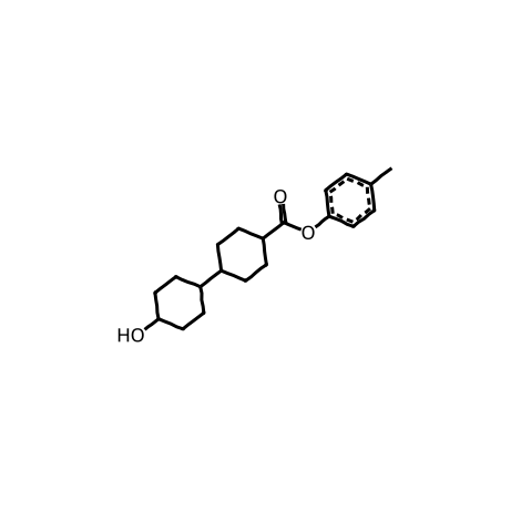 Cc1ccc(OC(=O)C2CCC(C3CCC(O)CC3)CC2)cc1